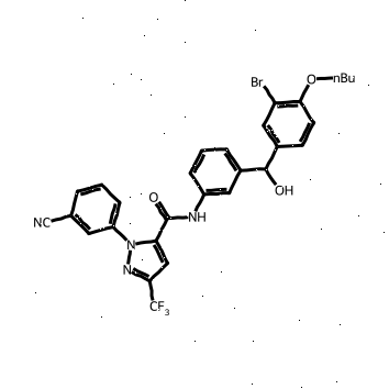 CCCCOc1ccc(C(O)c2cccc(NC(=O)c3cc(C(F)(F)F)nn3-c3cccc(C#N)c3)c2)cc1Br